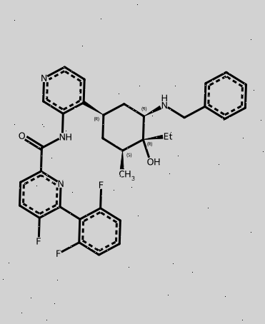 CC[C@@]1(O)[C@@H](C)C[C@@H](c2ccncc2NC(=O)c2ccc(F)c(-c3c(F)cccc3F)n2)C[C@H]1NCc1ccccc1